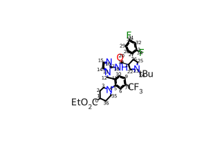 CCOC(=O)C1CCN(c2cc(C(F)(F)F)ccc2Cn2ccnc2NC(=O)[C@@H]2CN(C(C)(C)C)C[C@H]2c2ccc(F)cc2F)CC1